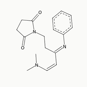 CN(C)/C=C\C(CCN1C(=O)CCC1=O)=N\c1ccccc1